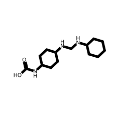 O=C(O)NC1CCC(NCNC2CCCCC2)CC1